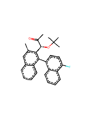 CC(=O)[C@@H](OC(C)(C)C)c1c(C)cc2ccccc2c1-c1ccc(F)c2ccccc12